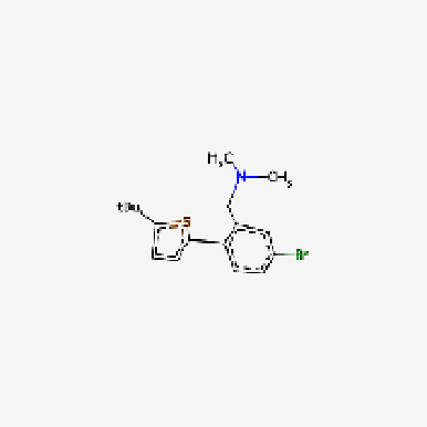 CN(C)Cc1cc(Br)ccc1-c1ccc(C(C)(C)C)s1